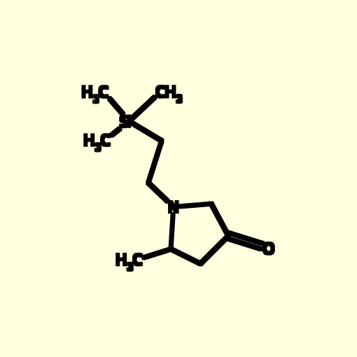 CC1CC(=O)CN1CC[Si](C)(C)C